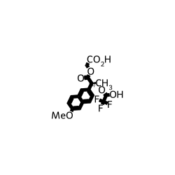 COc1ccc2cc([C@H](C)C(=O)OCC(=O)O)ccc2c1.O=C(O)C(F)(F)F